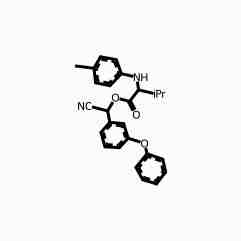 Cc1ccc(NC(C(=O)OC(C#N)c2cccc(Oc3ccccc3)c2)C(C)C)cc1